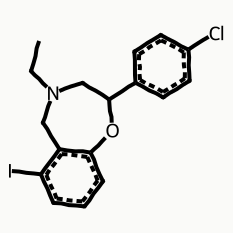 CCN1Cc2c(I)cccc2OC(c2ccc(Cl)cc2)C1